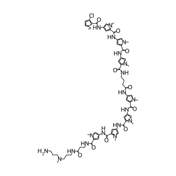 CN(CCCN)CCCNC(=O)CCNC(=O)c1cc(NC(=O)c2cc(NC(=O)c3cc(NC(=O)c4cc(NC(=O)CCCNC(=O)c5cc(NC(=O)c6cc(NC(=O)c7cc(NC(=O)c8sccc8Cl)cn7C)cn6C)cn5C)cn4C)cn3C)cn2C)cn1C